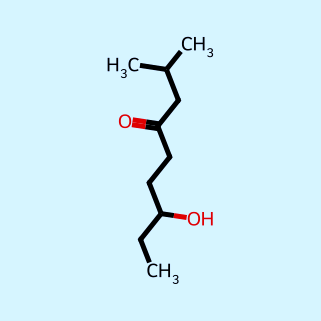 CCC(O)CCC(=O)CC(C)C